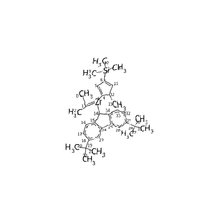 C[C](C)=[Zr]([C]1=CC([Si](C)(C)C)=CC1C)[CH]1c2ccc(C(C)(C)C)cc2-c2cc(C(C)(C)C)ccc21